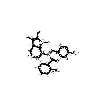 Cc1c(C)n(C)c2c(N(Cc3ccc(F)cc3)C(=O)c3ccccc3Cl)cncc12